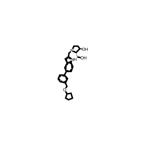 OC[C@H]1[C@H](O)CCN1Cc1cc2cc(-c3cccc(COC4CCCC4)c3)ccc2[nH]1